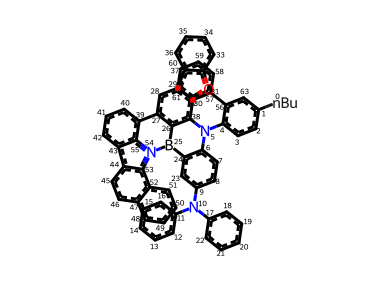 CCCCc1ccc(N2c3ccc(N(c4ccccc4)c4ccccc4)cc3B3c4c(cc5c(oc6ccccc65)c42)-c2cccc4c5ccc6ccccc6c5n3c24)c(-c2ccccc2)c1